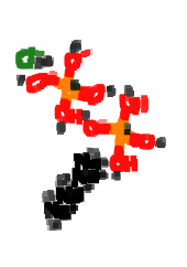 O=P([O-])(O)O.O=P([O-])([O-])O.[Cl-].[Na+].[Na+].[Na+].[Na+]